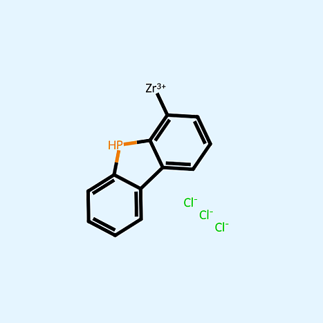 [Cl-].[Cl-].[Cl-].[Zr+3][c]1cccc2c1[pH]c1ccccc12